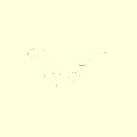 COCCCNC(=O)c1cccc(NC(=O)c2c(C)nsc2Nc2cnc3ccccc3n2)c1